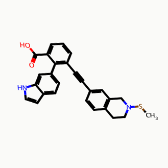 CSN1CCc2ccc(C#Cc3cccc(C(=O)O)c3-c3ccc4cc[nH]c4c3)cc2C1